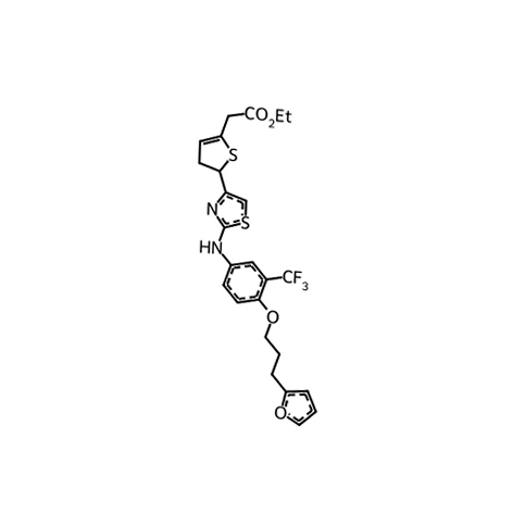 CCOC(=O)CC1=CCC(c2csc(Nc3ccc(OCCCc4ccco4)c(C(F)(F)F)c3)n2)S1